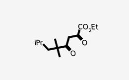 CCOC(=O)C(=O)CC(=O)C(C)(C)CC(C)C